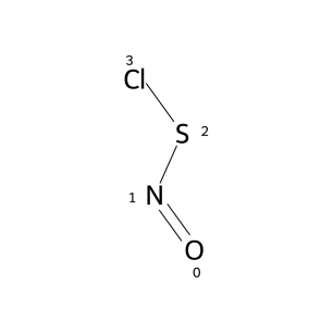 O=NSCl